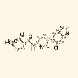 C#C/C=C\C(C(=O)Nc1ccc(-c2cc3scnc3cc2Cl)cn1)=C(/C)Cl